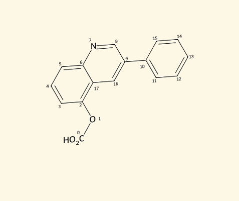 O=C(O)Oc1cccc2ncc(-c3ccccc3)cc12